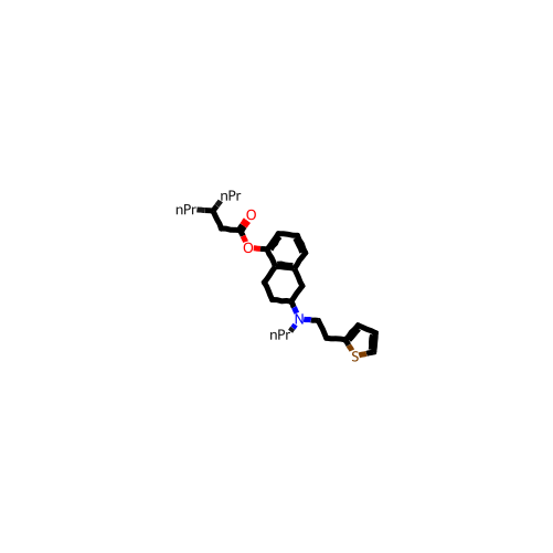 CCCC(CCC)CC(=O)Oc1cccc2c1CCC(N(CCC)CCc1cccs1)C2